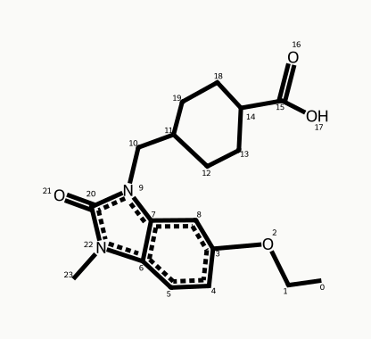 CCOc1ccc2c(c1)n(CC1CCC(C(=O)O)CC1)c(=O)n2C